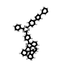 c1ccc(-c2ccc(-c3ccc(-c4nc(-c5ccccc5)nc(-c5ccc(-c6nc7c(c8ccccc68)C6(c8ccccc8-c8ccccc86)c6ccccc6-7)cc5)n4)cc3)cc2)cc1